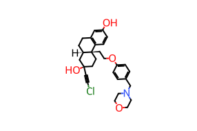 Oc1ccc2c(c1)CC[C@@H]1C[C@@](O)(C#CCl)CC[C@@]21CCOc1ccc(CN2CCOCC2)cc1